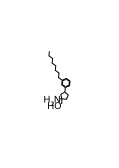 CCCCCCCCc1cccc(C2CCC(N)(CO)C2)c1